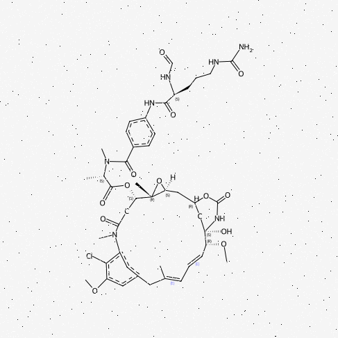 COc1cc2cc(c1Cl)N(C)C(=O)C[C@H](OC(=O)[C@H](C)N(C)C(=O)c1ccc(NC(=O)[C@H](CCCNC(N)=O)NC=O)cc1)[C@]1(C)O[C@H]1C[C@@H]1C[C@@](O)(NC(=O)O1)[C@H](OC)/C=C/C=C(\C)C2